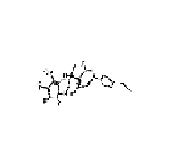 [2H]c1c(F)c(F)c(F)c([2H])c1OC(F)(F)c1c(F)cc(-c2ccc(CCC)cc2)cc1F